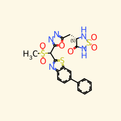 CS(=O)(=O)C(c1nnc(C[C@@H]2NS(=O)(=O)NC2=O)o1)c1nc2ccc(-c3ccccc3)cc2s1